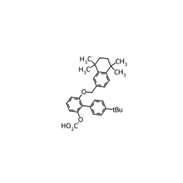 CC(C)(C)c1ccc(-c2c(OCc3ccc4c(c3)C(C)(C)CCC4(C)C)cccc2OC(=O)O)cc1